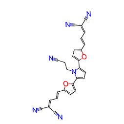 N#CCCn1c(-c2ccc(/C=C/C=C(C#N)C#N)o2)ccc1-c1ccc(/C=C/C=C(C#N)C#N)o1